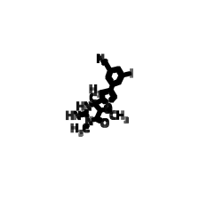 COC1C(=O)N(C)C(=N)NC1(C)c1cc(-c2cc(I)cc(C#N)c2)cs1